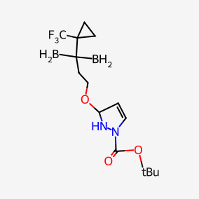 BC(B)(CCOC1C=CN(C(=O)OC(C)(C)C)N1)C1(C(F)(F)F)CC1